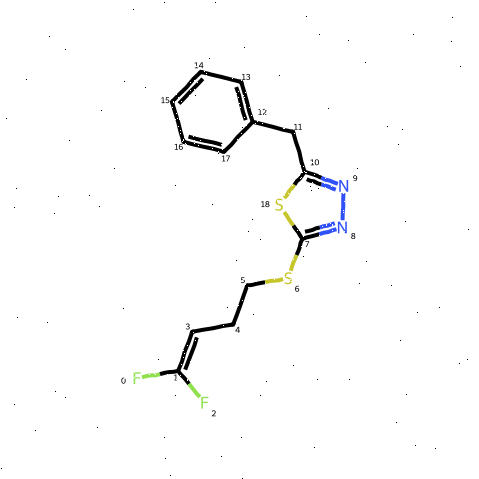 FC(F)=CCCSc1nnc(Cc2ccccc2)s1